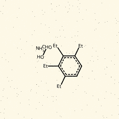 CCc1ccc(CC)c(CC)c1CC.N.O=CO